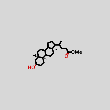 COC(=O)CCC(C)C1CCC2C3CC[C@@H]4C[C@H](O)CC[C@]4(C)C3CC[C@]12C